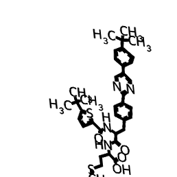 CSCCC(NC(=O)C(Cc1ccc(-c2ncc(-c3ccc(C(C)(C)C)cc3)cn2)cc1)NC(=O)c1ccc(C(C)(C)C)s1)C(=O)O